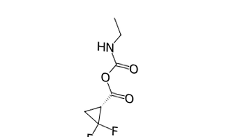 CCNC(=O)OC(=O)[C@H]1CC1(F)F